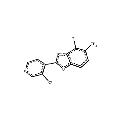 Fc1c(C(F)(F)F)ccc2oc(-c3ccncc3Cl)nc12